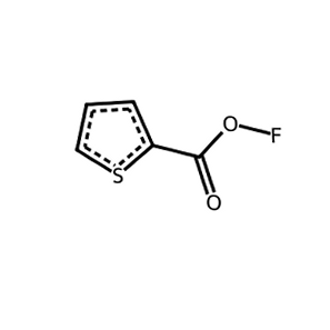 O=C(OF)c1cccs1